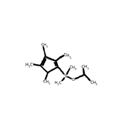 CC1=C(C)C(C)C([Si](C)(C)OC(C)C)=C1C